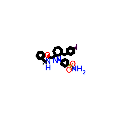 C[C@@H](NC(=O)c1nn(-c2ccc(S(N)(=O)=O)cc2)c2c1CCCCC2Cc1ccc(I)cc1)c1ccccc1